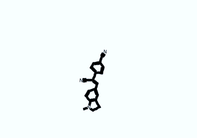 CN1CCc2cc(/C=C(\C#N)c3ccc(C#N)cc3)ccc21